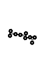 c1ccc(-n2c3ccccc3c3ccc(-c4cccc5c4c4ccccc4n5-c4ccc(-c5ccc(-n6c7ccccc7c7ccccc76)cc5)cc4)cc32)cc1